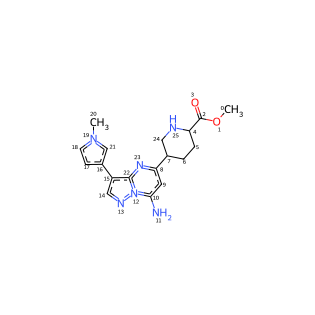 COC(=O)C1CCC(c2cc(N)n3ncc(-c4ccn(C)c4)c3n2)CN1